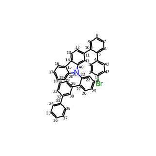 Brc1ccc(-c2ccccc2-c2ccc3c4ccccc4n(-c4ccccc4-c4cccc(-c5ccccc5)c4)c3c2)cc1